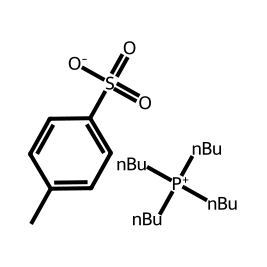 CCCC[P+](CCCC)(CCCC)CCCC.Cc1ccc(S(=O)(=O)[O-])cc1